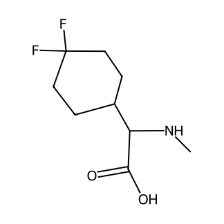 CNC(C(=O)O)C1CCC(F)(F)CC1